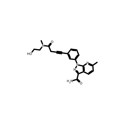 Cc1ccc2c(C(N)=O)nn(-c3cccc(C#CCC(=O)N(C)CCO)c3)c2n1